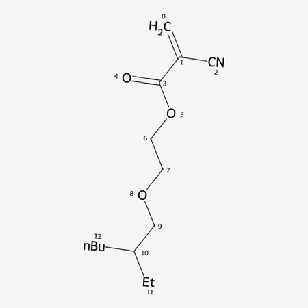 C=C(C#N)C(=O)OCCOCC(CC)CCCC